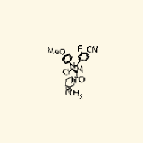 COc1ccc(-n2c(-c3ccc(C#N)c(F)c3)nc(C(=O)N3CCC[C@H](N)C3)c2Cl)cc1